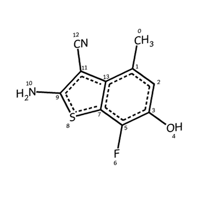 Cc1cc(O)c(F)c2sc(N)c(C#N)c12